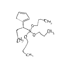 CCCO[Si](OCCC)(OCCC)C(CC)C1=CC=CC1